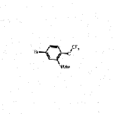 CNc1cc(Br)ccc1OC(F)(F)F